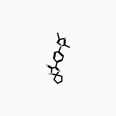 Cc1cn(-c2ccc(C3=NC4(CCCC4)NC3=O)cc2)c(C)n1